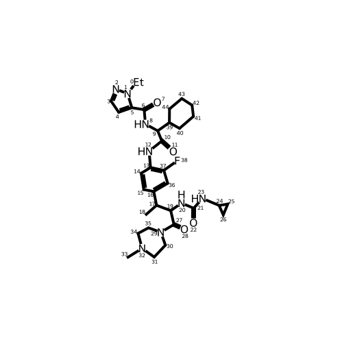 CCn1nccc1C(=O)NC(C(=O)Nc1ccc(C(C)C(NC(=O)NC2CC2)C(=O)N2CCN(C)CC2)cc1F)C1CCCCC1